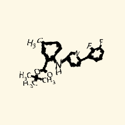 Cc1ccc(Nc2ccc(-c3cccc(F)c3F)nc2)c(C(=O)OC(C)(C)C)c1